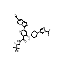 CC(C)(O)[C@H](F)CNC(=O)c1cnc(-c2ccc3cc(C#N)cnn23)cc1N[C@H]1CC[C@H](c2cnn(C(F)F)c2)CC1